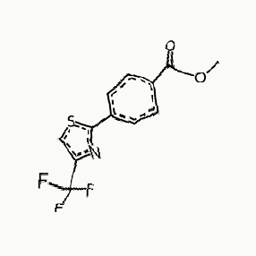 COC(=O)c1ccc(-c2nc(C(F)(F)F)cs2)cc1